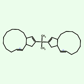 C[Si](C)(C1=CC2CCCCCCCC/C=C/C2C1)C1=CC2CCCCCCCC/C=C/C2C1